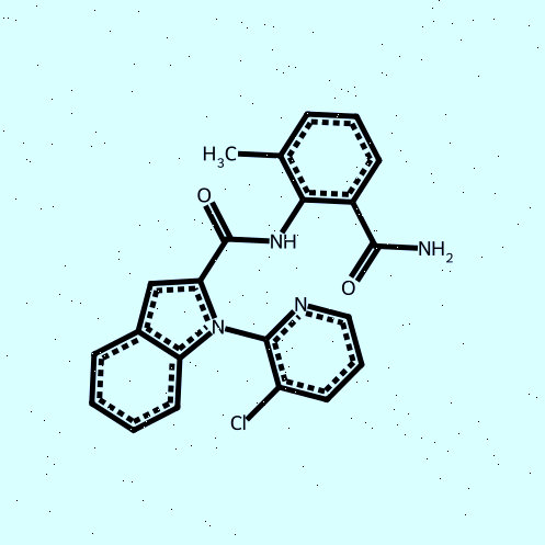 Cc1cccc(C(N)=O)c1NC(=O)c1cc2ccccc2n1-c1ncccc1Cl